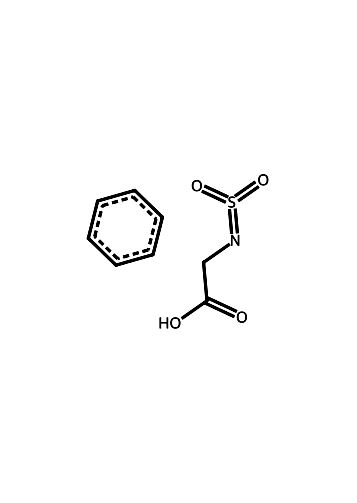 O=C(O)CN=S(=O)=O.c1ccccc1